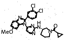 COc1ccc2nc(-c3ccc(Cl)c(Cl)c3)n(-c3ccnc(N[C@H]4CCCN(C(=O)C5CC5)C4)n3)c2c1